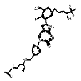 C=CC(CCNC(C)=N)NCc1ccc(-n2cc3cc(-c4cc(CCC[C@@H](N)C(F)(F)F)cc(Cl)c4F)[nH]c3nc2=O)cc1